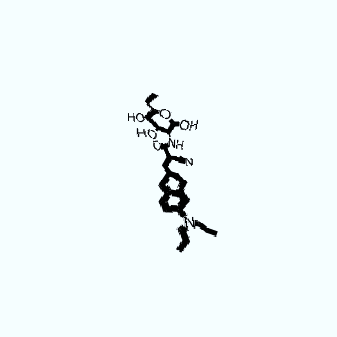 CCCN(CCC)c1ccc2cc(/C=C(\C#N)C(=O)N[C@H]3C(O)O[C@H](CC)[C@@H](O)[C@@H]3O)ccc2c1